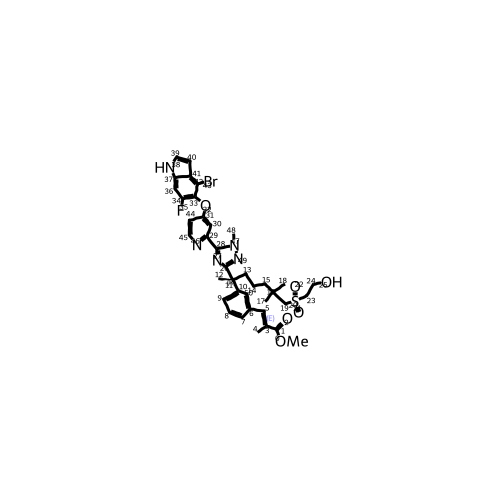 COC(=O)/C(C)=C/c1cccc([C@@](C)(CCCC(C)(C)CS(=O)(=O)CCO)c2nc(-c3cc(Oc4c(F)cc5[nH]ccc5c4Br)ccn3)n(C)n2)c1